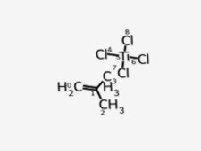 C=C(C)C.[Cl][Ti]([Cl])([Cl])[Cl]